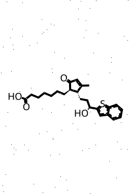 CC1=CC(=O)[C@H](CCCCCCC(=O)O)[C@H]1CC[C@@H](O)c1cc2ccccc2s1